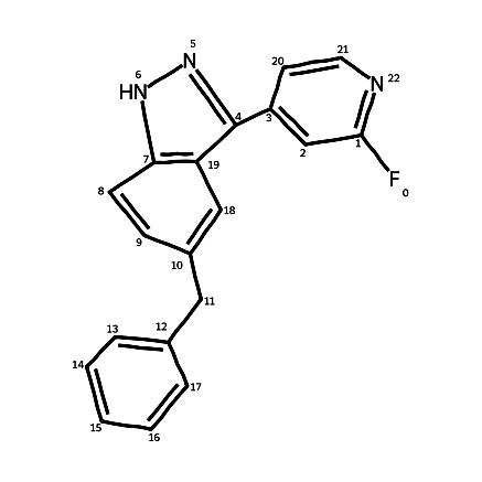 Fc1cc(-c2n[nH]c3ccc(Cc4ccccc4)cc23)ccn1